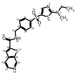 CCN(C)c1ncc(S(=O)(=O)c2ccc(CNC(=O)c3cc4ccncc4s3)cc2)s1